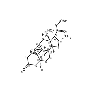 CC(=O)OCC(=O)[C@@]1(O)[C@H](C)C[C@H]2[C@@H]3CC[C@H]4CC(=O)CC[C@]4(C)[C@@]34O[C@H]4C[C@@]21C